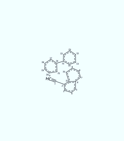 C#Cc1cccc2ccccc12.c1ccc(-c2ccccc2)cc1